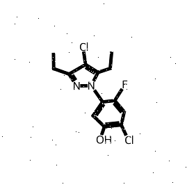 CCc1nn(-c2cc(O)c(Cl)cc2F)c(CC)c1Cl